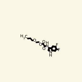 CCCCOCCOC(=O)C(=O)Nc1c[nH]c2cc(F)c(F)cc12